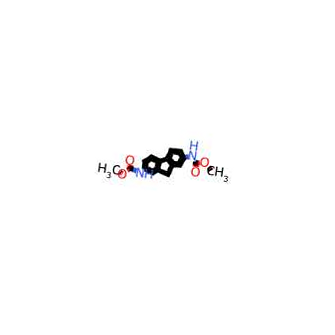 COC(=O)Nc1ccc2c(c1)Cc1cc(NC(=O)OC)ccc1-2